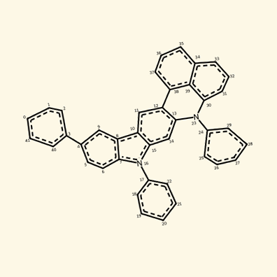 c1ccc(-c2ccc3c(c2)c2cc4c(cc2n3-c2ccccc2)N(c2ccccc2)c2cccc3cccc-4c23)cc1